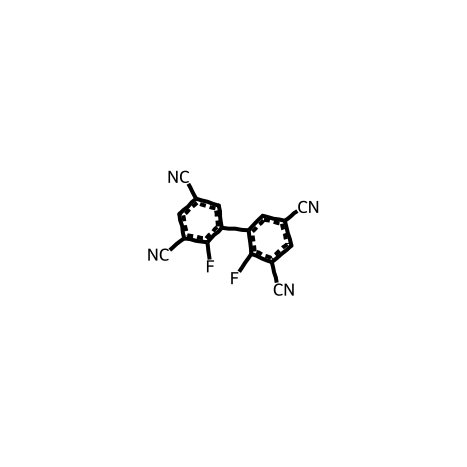 N#Cc1cc(C#N)c(F)c(-c2cc(C#N)cc(C#N)c2F)c1